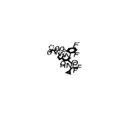 COC(=O)C1CN(c2ccc3c(=O)c(C(=O)NC(C4CC4)C(F)(F)F)cn(-c4c(F)cc(F)cc4F)c3n2)C(=O)O1